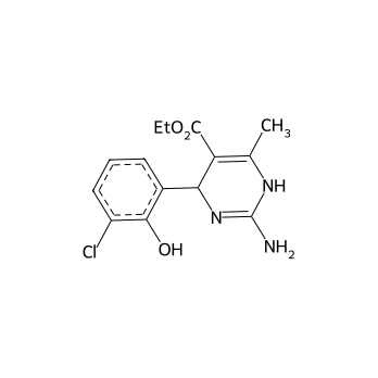 CCOC(=O)C1=C(C)NC(N)=NC1c1cccc(Cl)c1O